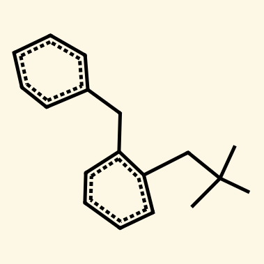 CC(C)(C)Cc1ccccc1Cc1ccccc1